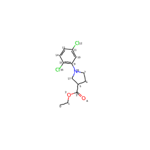 CCOC(=O)C1CCN(c2cc(Cl)ccc2Cl)C1